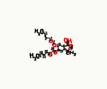 CC=CCOCOC1CC(C(=O)O)C(C(C)=O)CC1OCOC/C=C/C